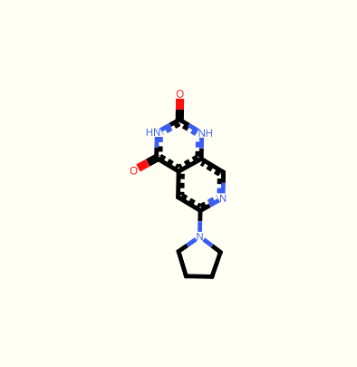 O=c1[nH]c(=O)c2cc(N3CCCC3)ncc2[nH]1